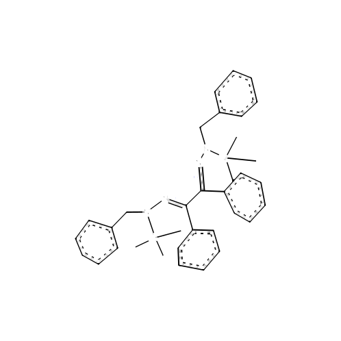 C[Si](C)(C)N(Cc1ccccc1)/N=C(/C(=N/N(Cc1ccccc1)[Si](C)(C)C)c1ccccc1)c1ccccc1